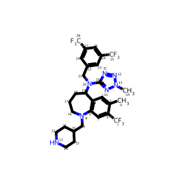 Cc1cc2c(cc1C(F)(F)F)N(CC1CCNCC1)CCCC2N(Cc1cc(C(F)(F)F)cc(C(F)(F)F)c1)c1nnn(C)n1